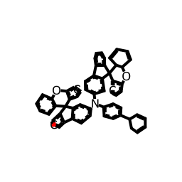 C1=CCC(c2ccc(N(c3ccc4c(c3)C3(c5ccccc5Oc5ccccc53)c3ccccc3-4)c3ccc4c(c3)C3(c5ccccc5OC5C=CC=CC53)c3ccccc3-4)cc2)C=C1